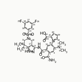 CN(C)c1cc(C(N)=O)c(C(=O)Nc2n[nH]c3c2CN(S(=O)(=O)c2cc(F)cc(F)c2)CC3(C)C)cc1-n1cccc1C(=O)O